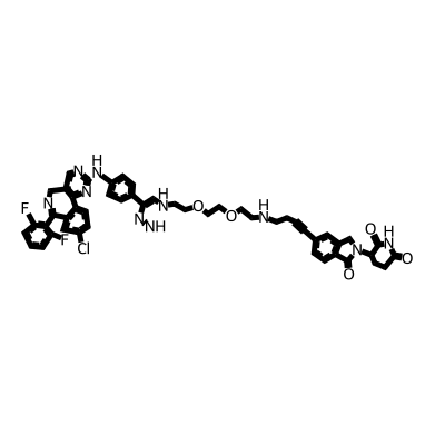 N=N/C(=C\NCCOCCOCCNCCC#Cc1ccc2c(c1)CN(C1CCC(=O)NC1=O)C2=O)c1ccc(Nc2ncc3c(n2)-c2ccc(Cl)cc2C(c2c(F)cccc2F)=NC3)cc1